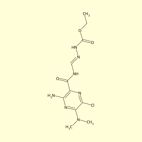 CCOC(=O)NN=CNC(=O)c1nc(Cl)c(N(C)C)nc1N